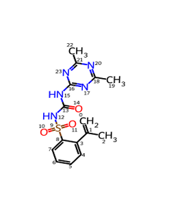 C=C(C)c1ccccc1S(=O)(=O)NC(=O)Nc1nc(C)nc(C)n1